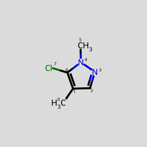 Cc1cnn(C)c1Cl